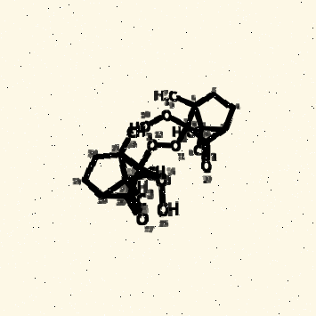 CC1(C)C2CCC1(C)C(OO)(OOC1(OO)C(=O)C3CCC1(C)C3(C)C)C2=O